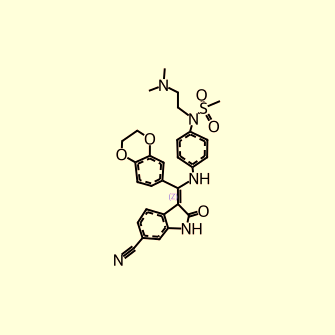 CN(C)CCN(c1ccc(N/C(=C2\C(=O)Nc3cc(C#N)ccc32)c2ccc3c(c2)OCCO3)cc1)S(C)(=O)=O